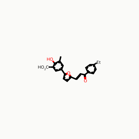 CCc1ccc(C(=O)/C=C/c2ccc(-c3cc(C)c(O)c(C(=O)O)c3)o2)cc1